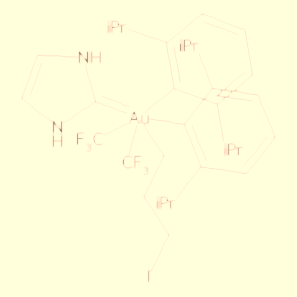 CC(C)c1cccc(C(C)C)[c]1[Au]([CH2]CCI)([c]1c(C(C)C)cccc1C(C)C)(=[c]1[nH]cc[nH]1)([C](F)(F)F)[C](F)(F)F